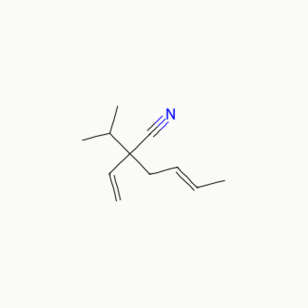 C=CC(C#N)(CC=CC)C(C)C